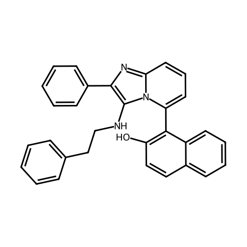 Oc1ccc2ccccc2c1-c1cccc2nc(-c3ccccc3)c(NCCc3ccccc3)n12